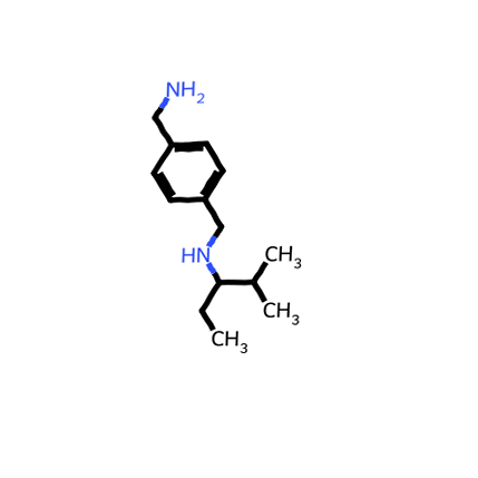 CCC(NCc1ccc(CN)cc1)C(C)C